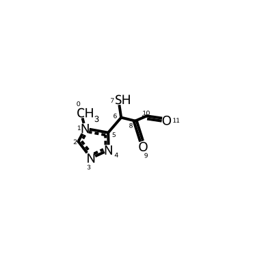 Cn1cnnc1C(S)C(=O)[C]=O